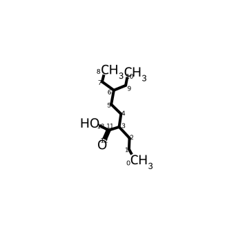 CCCC(CCC(CC)CC)C(=O)O